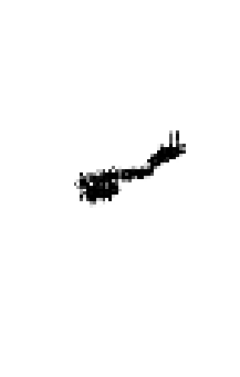 CNC(=O)COC1C=c2nc3c(cc2C(C(C)C)C1=O)=Nc1cccc(Nc2nc(N4CCC(F)(CN5CCC6(CCN(c7ccc8c(c7)CN(C7CCC(=O)NC7=O)C8=O)C6)C5)CC4)ncc2Cl)c1-3